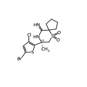 C[C@@]1(c2sc(Br)cc2Cl)CS(=O)(=O)C2(CCCC2)C(=N)N1